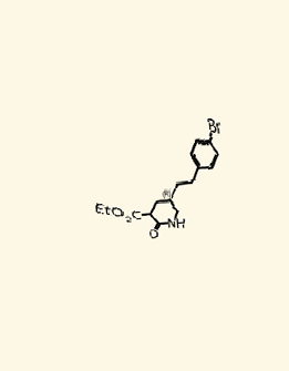 CCOC(=O)C1C[C@@H](CCc2ccc(Br)cc2)CNC1=O